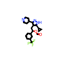 O=COC(Cc1c(-c2ccncc2)n[nH]c1C1CC1)c1cccc(C(F)(F)F)c1